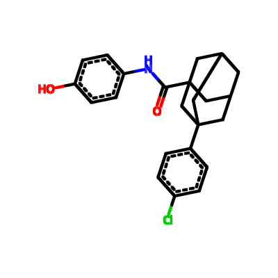 O=C(Nc1ccc(O)cc1)C12CC3CC(C1)CC(c1ccc(Cl)cc1)(C3)C2